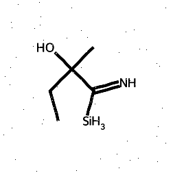 CCC(C)(O)C(=N)[SiH3]